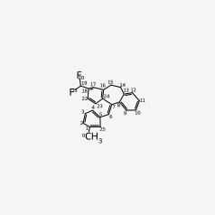 Cc1cccc(/C=C2/c3ccccc3CCc3cc(C(F)F)ccc32)c1